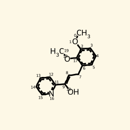 COc1cccc(C/C=C(\O)c2ccccn2)c1OC